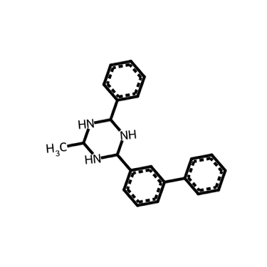 CC1NC(c2ccccc2)NC(c2cccc(-c3ccccc3)c2)N1